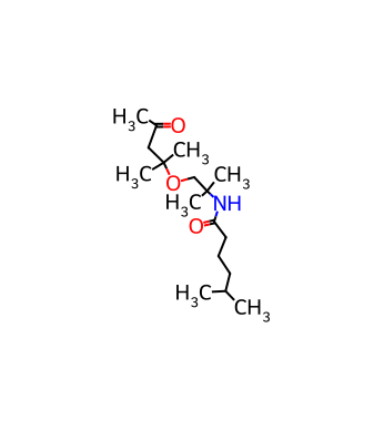 CC(=O)CC(C)(C)OCC(C)(C)NC(=O)CCCC(C)C